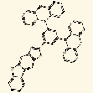 c1ccc2c(c1)Oc1ccccc1N2c1cc(-c2nc3cc4oc5ccccc5c4cc3o2)cc(N2c3ccccc3Oc3ccccc32)c1